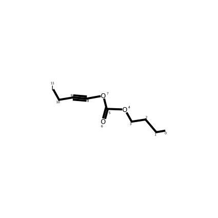 CCCCOC(=O)OC#CCI